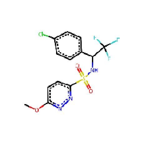 COc1ccc(S(=O)(=O)NC(c2ccc(Cl)cc2)C(F)(F)F)nn1